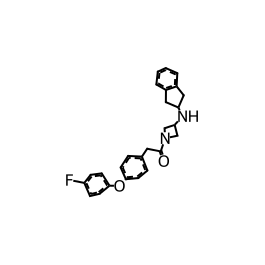 O=C(Cc1ccc(Oc2ccc(F)cc2)cc1)N1CC(NC2Cc3ccccc3C2)C1